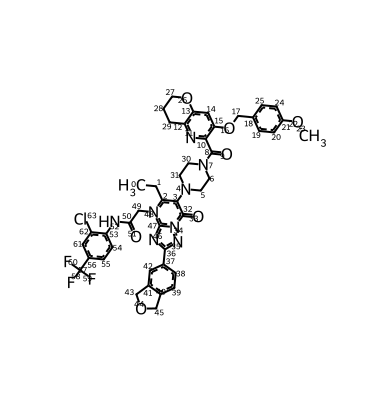 CCc1c(N2CCN(C(=O)c3nc4c(cc3OCc3ccc(OC)cc3)OCCC4)CC2)c(=O)n2nc(-c3ccc4c(c3)COC4)nc2n1CC(=O)Nc1ccc(C(F)(F)F)cc1Cl